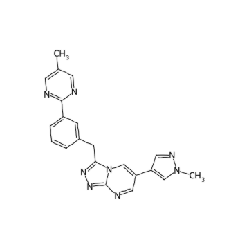 Cc1cnc(-c2cccc(Cc3nnc4ncc(-c5cnn(C)c5)cn34)c2)nc1